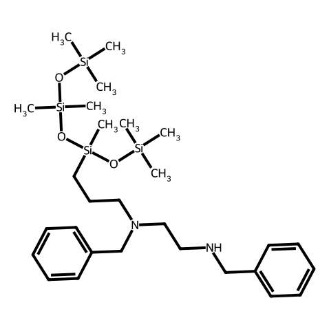 C[Si](C)(C)O[Si](C)(C)O[Si](C)(CCCN(CCNCc1ccccc1)Cc1ccccc1)O[Si](C)(C)C